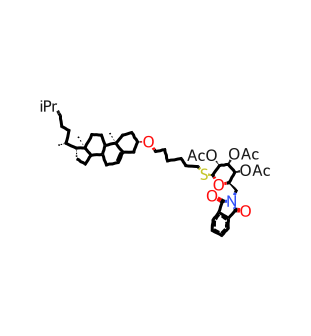 CC(=O)O[C@H]1[C@@H](OC(C)=O)[C@@H](CN2C(=O)c3ccccc3C2=O)O[C@@H](SCCCCCCO[C@H]2CC[C@@]3(C)C(=CCC4C3CC[C@@]3(C)C4CC[C@@H]3[C@H](C)CCCC(C)C)C2)[C@@H]1OC(C)=O